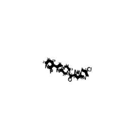 O=C(c1cc2ncc(Cl)cn2n1)N1CCn2cc(-c3cccnc3F)nc2C1